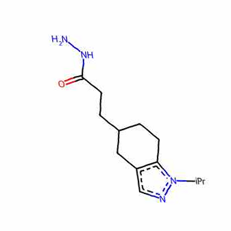 CC(C)n1ncc2c1CCC(CCC(=O)NN)C2